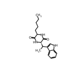 CCCCCC1NC(=O)[C@@H](C(C)c2c[nH]c3ccccc23)NC1=O